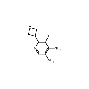 Nc1cnc(C2COC2)c(F)c1N